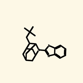 CC(C)(C)CC1C2CC3CC(C2)N(c2nc4ccccc4s2)C1C3